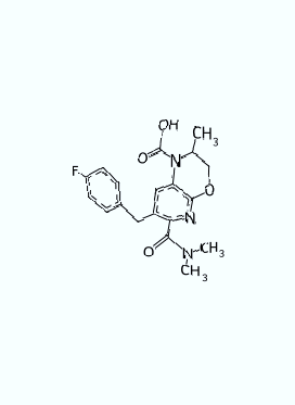 CC1COc2nc(C(=O)N(C)C)c(Cc3ccc(F)cc3)cc2N1C(=O)O